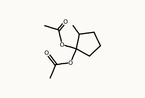 CC(=O)OC1(OC(C)=O)CCCC1C